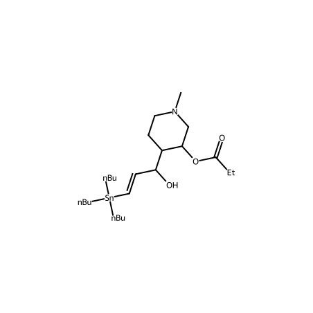 CCC[CH2][Sn]([CH]=CC(O)C1CCN(C)CC1OC(=O)CC)([CH2]CCC)[CH2]CCC